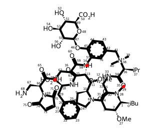 CC[C@H](C)[C@@H]([C@@H](CC(=O)N1CCC[C@H]1[C@H](OC)[C@@H](C)C(=O)N[C@@H](Cc1ccccc1)C(=O)O)OC)N(C)C(=O)[C@@H](NC(=O)[C@H](C(C)C)[N+](C)(C)Cc1ccc(O[C@@H]2O[C@H](C(=O)O)[C@@H](O)[C@H](O)[C@H]2O)c(NC(=O)CCNC(=O)[C@H](CN)N2C(=O)C=CC2=O)c1)C(C)C